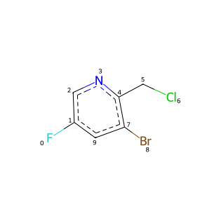 Fc1cnc(CCl)c(Br)c1